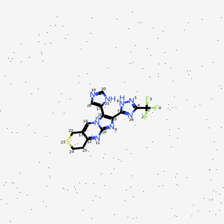 FC(F)(F)c1n[nH]c(-c2nc3nc4c(cn3c2-c2cnc[nH]2)CSCC4)n1